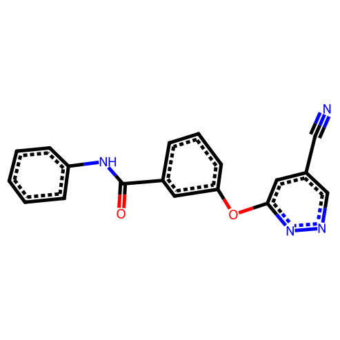 N#Cc1cnnc(Oc2cccc(C(=O)Nc3ccccc3)c2)c1